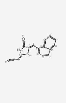 N#C/N=C1\NC(=O)/C(=C/c2cccc3ccccc23)S1